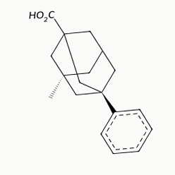 C[C@@]12CC3CC(C(=O)O)(C1)C[C@](c1ccccc1)(C3)C2